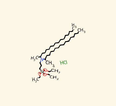 CCCCCCCCCCCCCCCC(C)N(CCC[Si](OCC)(OCC)OCC)C(C)CCCCCCCCCCCCCCC.Cl